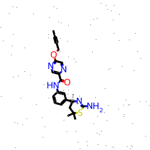 CC#CCOc1cnc(C(=O)Nc2cccc([C@]3(C)CC(C)(C)SC(N)=N3)c2)cn1